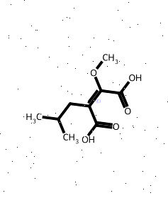 CO/C(C(=O)O)=C(\CC(C)C)C(=O)O